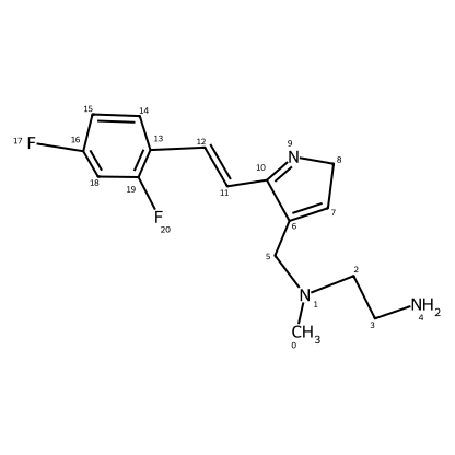 CN(CCN)CC1=CCN=C1/C=C/c1ccc(F)cc1F